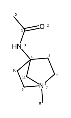 CC(=O)NC12CC[N+](C)(CC1)C2